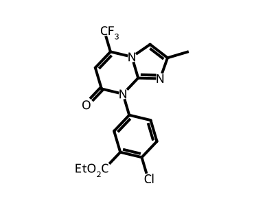 CCOC(=O)c1cc(-n2c(=O)cc(C(F)(F)F)n3cc(C)nc23)ccc1Cl